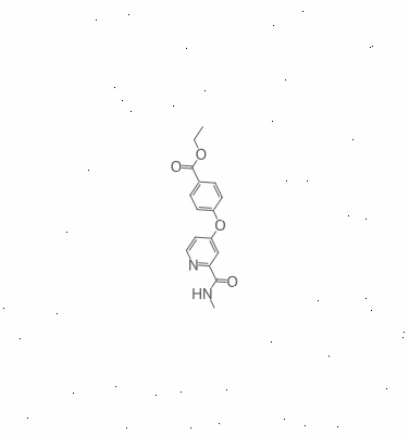 CCOC(=O)c1ccc(Oc2ccnc(C(=O)NC)c2)cc1